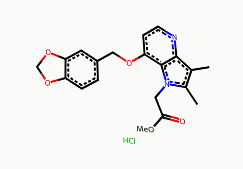 COC(=O)Cn1c(C)c(C)c2nccc(OCc3ccc4c(c3)OCO4)c21.Cl